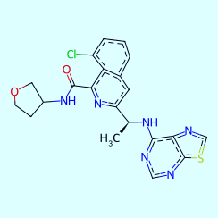 C[C@H](Nc1ncnc2scnc12)c1cc2cccc(Cl)c2c(C(=O)NC2CCOC2)n1